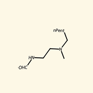 CCCCCCN(C)CCN[C]=O